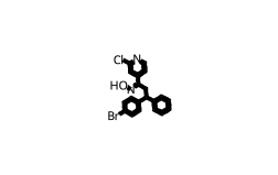 ON=C(CC(c1ccccc1)c1ccc(Br)cc1)c1ccnc(Cl)c1